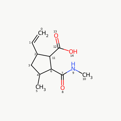 C=CC1CC(C)C(C(=O)NC)C1C(=O)O